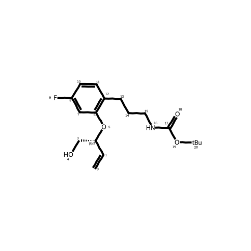 C=C[C@H](CO)Oc1cc(F)ccc1CCCNC(=O)OC(C)(C)C